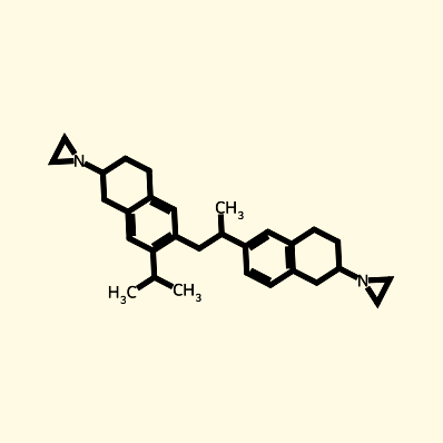 CC(C)c1cc2c(cc1CC(C)c1ccc3c(c1)CCC(N1CC1)C3)CCC(N1CC1)C2